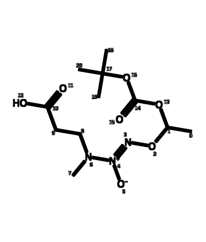 CC(ON=[N+]([O-])N(C)CCC(=O)O)OC(=O)OC(C)(C)C